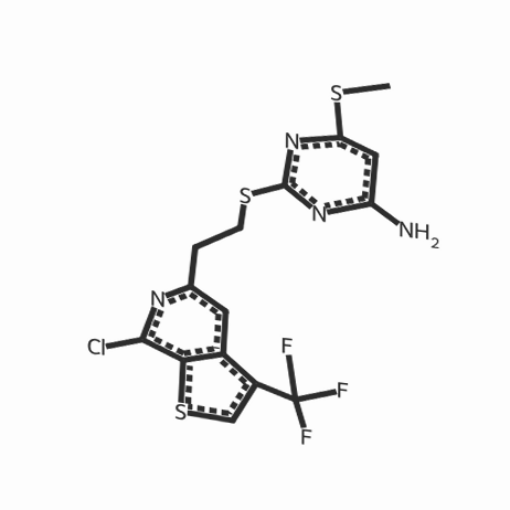 CSc1cc(N)nc(SCCc2cc3c(C(F)(F)F)csc3c(Cl)n2)n1